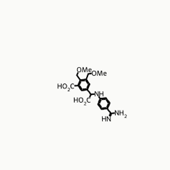 COCc1cc(C(Nc2ccc(C(=N)N)cc2)C(=O)O)cc(C(=O)O)c1COC